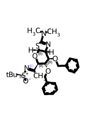 C/C(=N\[S@@+]([O-])C(C)(C)C)[C@H]1O[C@@H]2SC(N(C)C)=N[C@@H]2[C@@H](OCc2ccccc2)[C@@H]1OCc1ccccc1